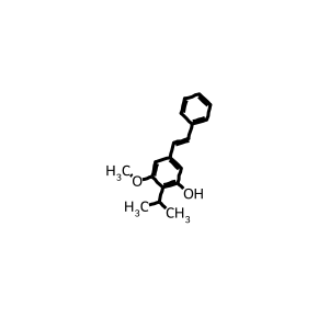 COc1cc(/C=C/c2ccccc2)cc(O)c1C(C)C